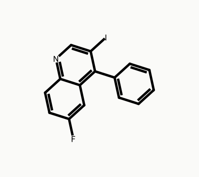 Fc1ccc2ncc(I)c(-c3ccccc3)c2c1